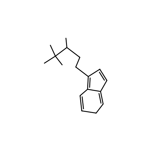 CC(CCC1=C2C=CCC=C2C=C1)C(C)(C)C